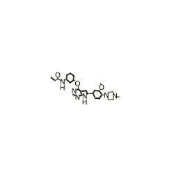 C=CC(=O)Nc1cccc(Oc2ncnc3[nH]c(-c4ccc(N5CCN(C)CC5)c(OC)c4)cc23)c1